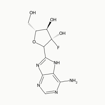 Nc1ncnc2nc(C3O[C@H](CO)[C@@H](O)[C@@]3(O)F)[nH]c12